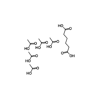 CC(=O)O.CC(=O)O.CC(=O)O.CC(=O)O.CC(=O)O.O=C(O)CCCCC(=O)O